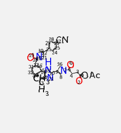 CC(=O)OC(=O)CCC(=O)N1CC(c2nc(C)c(-c3cc(C(=O)N4CC(c5ccc(C#N)cc5)C4)ccc3C)[nH]2)C1